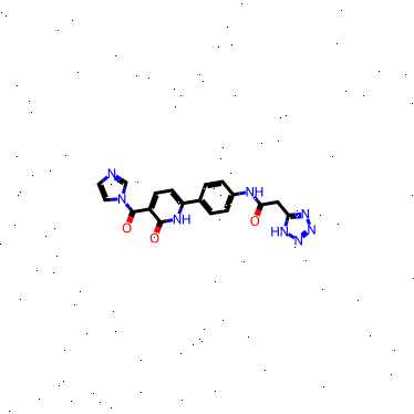 O=C(Cc1nnn[nH]1)Nc1ccc(-c2ccc(C(=O)n3ccnc3)c(=O)[nH]2)cc1